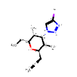 C=C=C[C@H]1O[C@H](COC(C)=O)[C@H](OC(C)=O)[C@H](n2cc(I)nn2)[C@H]1OC(C)=O